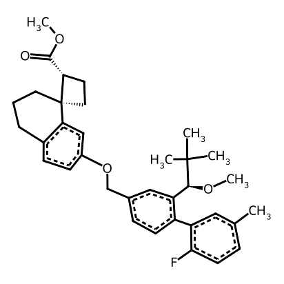 COC(=O)[C@@H]1CC[C@]12CCCc1ccc(OCc3ccc(-c4cc(C)ccc4F)c([C@H](OC)C(C)(C)C)c3)cc12